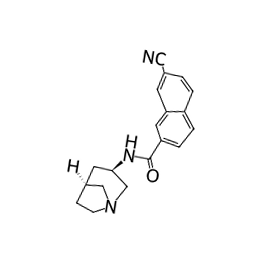 N#Cc1ccc2ccc(C(=O)N[C@@H]3C[C@@H]4CCN(C4)C3)cc2c1